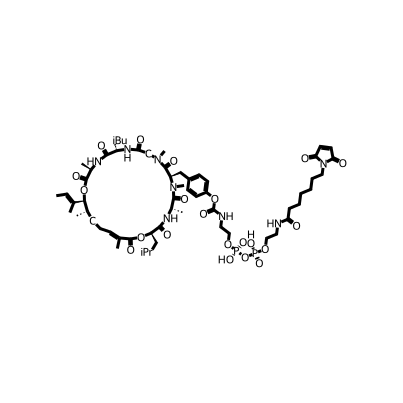 C/C=C(\C)[C@H]1OC(=O)[C@@H](C)NC(=O)[C@H](C(C)CC)NC(=O)CN(C)C(=O)[C@@H](Cc2ccc(OC(=O)NCCOP(=O)(O)OP(=O)(O)OCCNC(=O)CCCCCCN3C(=O)C=CC3=O)cc2)N(C)C(=O)[C@H](C)NC(=O)[C@@H](CC(C)C)OC(=O)/C(C)=C/CC[C@@H]1C